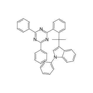 CC(C)(c1ccccc1-c1nc(-c2ccccc2)nc(-c2ccccc2)n1)c1cn(-c2ccccc2)c2ccccc12